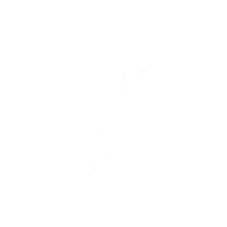 CCc1nc2ccc(F)cn2c1C(=O)NCc1ccc(N2CCN(S)C(C(C)C)=N2)cc1